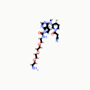 C[C@@H]1CCN(C(=O)CC#N)C[C@@H]1N(C)c1ncnc2c1ccn2C(=O)NCCOCCOCCOCCN